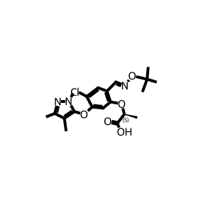 Cc1nn(C)c(Oc2cc(O[C@@H](C)C(=O)O)c(C=NOC(C)(C)C)cc2Cl)c1C